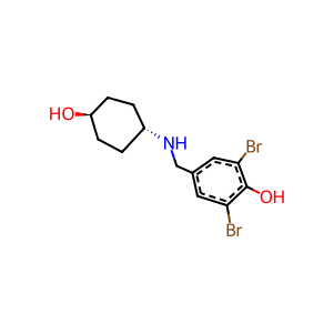 Oc1c(Br)cc(CN[C@H]2CC[C@H](O)CC2)cc1Br